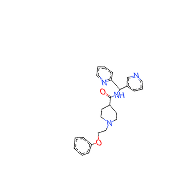 O=C(NC(c1cccnc1)c1ccccn1)C1CCN(CCOc2ccccc2)CC1